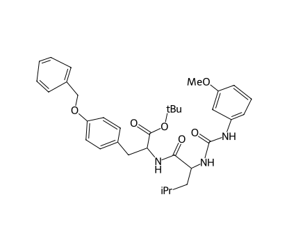 COc1cccc(NC(=O)NC(CC(C)C)C(=O)NC(Cc2ccc(OCc3ccccc3)cc2)C(=O)OC(C)(C)C)c1